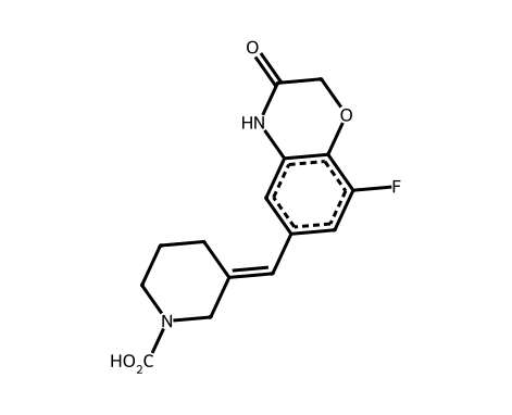 O=C1COc2c(F)cc(C=C3CCCN(C(=O)O)C3)cc2N1